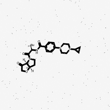 CC[C@H](C)C(NC(=O)c1ccc(N2CCN(C3CC3)CC2)cc1)C(=O)N1CC[C@H]2OCC(=O)[C@H]21